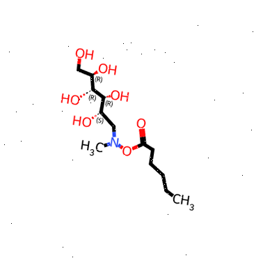 CCCCCC(=O)ON(C)C[C@H](O)[C@@H](O)[C@H](O)[C@H](O)CO